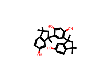 CC1(C)CC(C)(c2cc(C3(C)CC(C)(C)c4ccc(O)cc43)c(O)cc2O)c2cc(O)ccc21